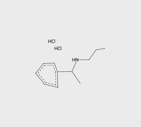 CCCNC(C)c1ccccc1.Cl.Cl